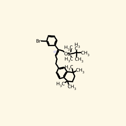 CC1(C)CCC(C)(C)c2cc(CC/C=C(\CO[Si](C)(C)C(C)(C)C)c3cccc(Br)c3)ccc21